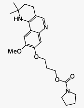 COc1cc2c3c(cnc2cc1OCCCOC(=O)N1CCCC1)CCC(C)(C)N3